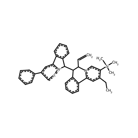 C=CC1C(C2c3ccccc3-c3cc(-c4ccccc4)cc[n+]32)c2ccccc2-c2cc(CC)c([Si](C)(C)C)c[n+]21